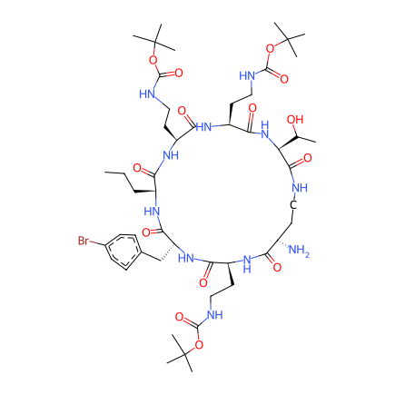 CCC[C@@H]1NC(=O)[C@@H](Cc2ccc(Br)cc2)NC(=O)[C@H](CCNC(=O)OC(C)(C)C)NC(=O)[C@@H](N)CCNC(=O)[C@H](C(C)O)NC(=O)[C@H](CCNC(=O)OC(C)(C)C)NC(=O)[C@H](CCNC(=O)OC(C)(C)C)NC1=O